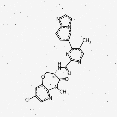 Cc1cnc(C(=O)N[C@H]2COc3cc(Cl)cnc3N(C)C2=O)nc1-c1ccc2nccn2c1